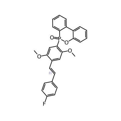 COc1cc(P2(=O)Oc3ccccc3-c3ccccc32)c(OC)cc1/C=C/c1ccc(F)cc1